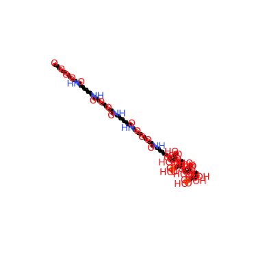 CC1C(OC2C(C(=O)O)OC(OC3C(COS(=O)(=O)O)OC(OC4C(C(=O)O)OC(OCCCCCCNC(=O)CCOCCOCCOCCNC(=O)CCCCCCCNC(=O)CCOCCCOCCC(=O)NCCCCCCCC(=O)NCCOCCOCCOCCC=O)C(O)C4O)C(C)C3O)C(O)C2O)OC(COS(=O)(=O)O)C(O)C1O